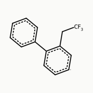 FC(F)(F)Cc1c[c]ccc1-c1ccccc1